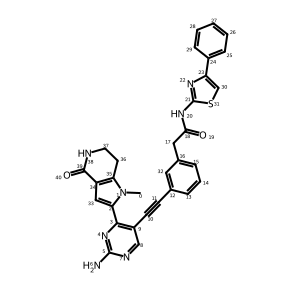 Cn1c(-c2nc(N)ncc2C#Cc2cccc(CC(=O)Nc3nc(-c4ccccc4)cs3)c2)cc2c1CCNC2=O